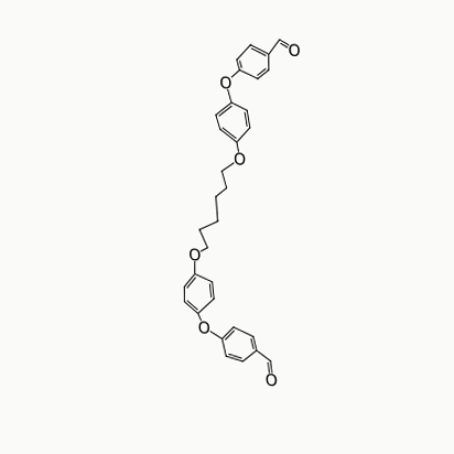 O=Cc1ccc(Oc2ccc(OCCCCCCOc3ccc(Oc4ccc(C=O)cc4)cc3)cc2)cc1